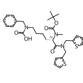 CN(C(=O)OC(C)(C)C)[C@@H](CCCCN(Cc1ccccc1)C(=O)O)C(=O)N(Cc1cccs1)Cc1cccs1